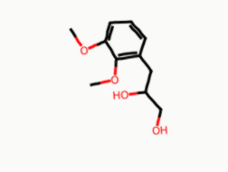 COc1cccc(CC(O)CO)c1OC